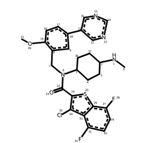 CNC1CCC(N(Cc2cc(-c3cncnc3)ccc2OC)C(=O)c2sc3c(F)ccc(F)c3c2Cl)CC1